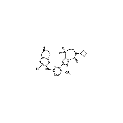 CCc1cc2c(cc1Nc1ncc(C(F)(F)F)c(-c3cc4c(s3)C(=O)N(C3CCC3)CCS4(=O)=O)n1)CCNC2